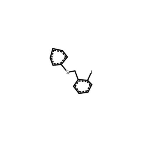 Ic1ccccc1CSc1ccccc1